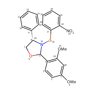 COc1ccc(C2OC[C@H](c3ccccc3)N2Sc2ccccc2[N+](=O)[O-])c(OC)c1